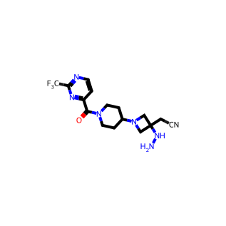 N#CCC1(NN)CN(C2CCN(C(=O)c3ccnc(C(F)(F)F)n3)CC2)C1